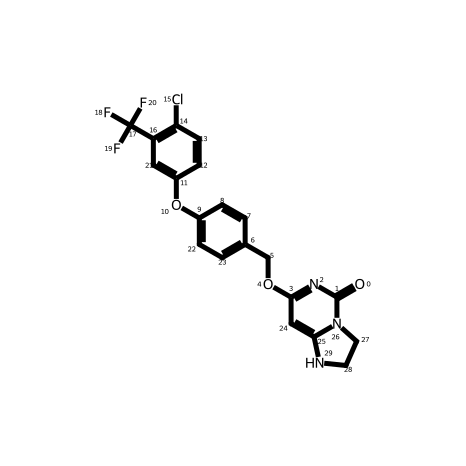 O=c1nc(OCc2ccc(Oc3ccc(Cl)c(C(F)(F)F)c3)cc2)cc2n1CCN2